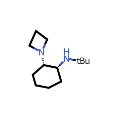 CC(C)(C)N[C@H]1CCCC[C@@H]1N1CCC1